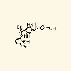 CCOC1=CC(=N)/C(=C\N[C@H]2C[C@H](C(C)(C)O)C2)C=C1NC(=O)c1cccc(C(C)C)[n+]1O